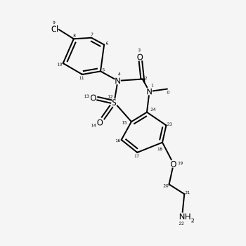 CN1C(=O)N(c2ccc(Cl)cc2)S(=O)(=O)c2ccc(OCCN)cc21